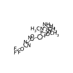 CC[C@@]1(c2cc(-c3cc(-c4ncc(OCC(F)(F)F)cn4)no3)ccc2F)CS(=O)(=NC)C(C)(C)C(N)=N1